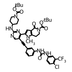 Cn1c(-c2nc(NC3CCN(C(=O)OC(C)(C)C)CC3)ncc2C#Cc2cccc(NC(=O)Nc3ccc(Cl)c(C(F)(F)F)c3)c2)cc2c1CCN(C(=O)OC(C)(C)C)C2=O